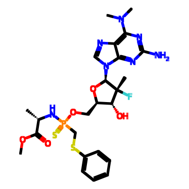 COC(=O)[C@H](C)NP(=S)(CSc1ccccc1)OC[C@H]1O[C@@H](n2cnc3c(N(C)C)nc(N)nc32)[C@](C)(F)[C@@H]1O